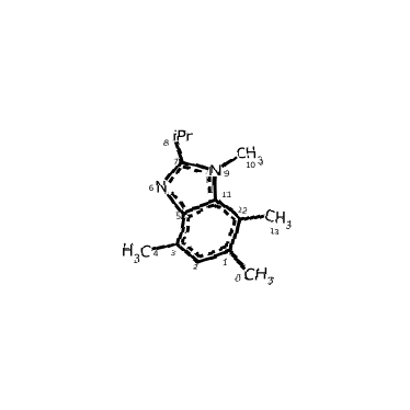 Cc1cc(C)c2nc(C(C)C)n(C)c2c1C